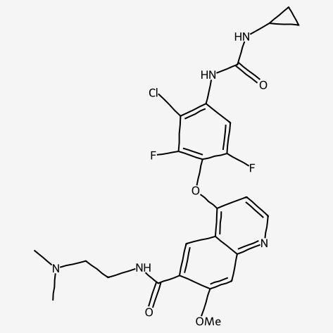 COc1cc2nccc(Oc3c(F)cc(NC(=O)NC4CC4)c(Cl)c3F)c2cc1C(=O)NCCN(C)C